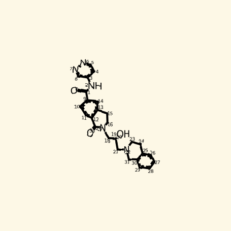 O=C(Nc1ccnnc1)c1ccc2c(c1)CCN(CC(O)CN1CCc3ccccc3C1)C2=O